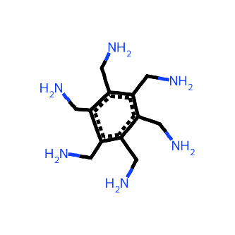 NCc1c(CN)c(CN)c(CN)c(CN)c1CN